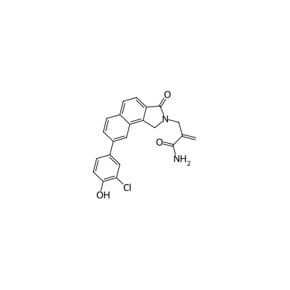 C=C(CN1Cc2c(ccc3ccc(-c4ccc(O)c(Cl)c4)cc23)C1=O)C(N)=O